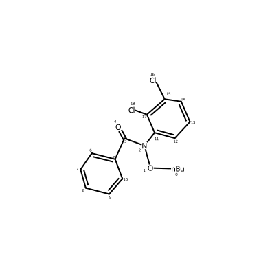 CCCCON(C(=O)c1ccccc1)c1cccc(Cl)c1Cl